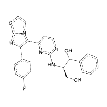 OC[C@@H](Nc1nccc(-c2c(-c3ccc(F)cc3)nc3occn23)n1)[C@H](O)c1ccccc1